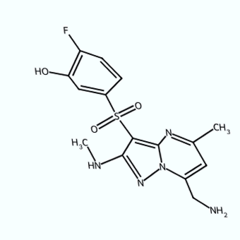 CNc1nn2c(CN)cc(C)nc2c1S(=O)(=O)c1ccc(F)c(O)c1